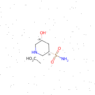 CC(=O)O.NS(=O)(=O)[C@@H]1CNC[C@H](O)C1